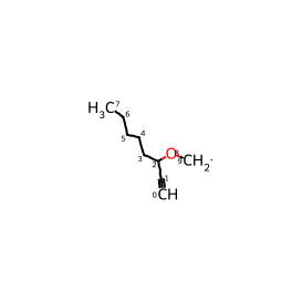 C#CC(CCCCC)O[CH2]